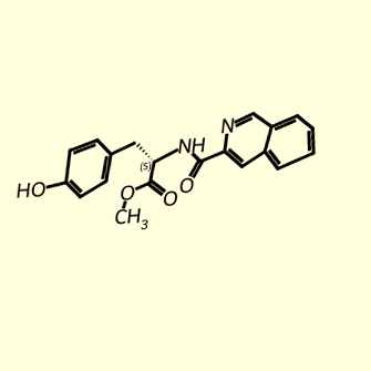 COC(=O)[C@H](Cc1ccc(O)cc1)NC(=O)c1cc2ccccc2cn1